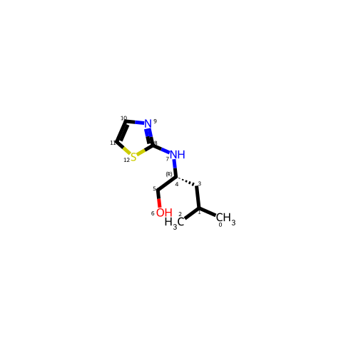 CC(C)C[C@H](CO)Nc1nccs1